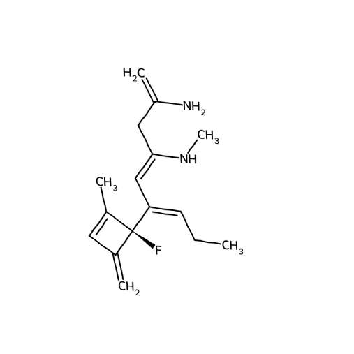 C=C(N)C/C(=C/C(=C/CC)[C@]1(F)C(=C)C=C1C)NC